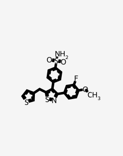 COc1ccc(-c2nsc(Cc3ccsc3)c2-c2ccc(S(N)(=O)=O)cc2)cc1F